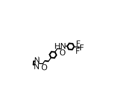 Cn1ccnc1C(=O)/C=C/c1ccc(CC(=O)Nc2ccc(C(F)(F)F)cc2)cc1